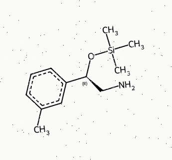 Cc1cccc([C@H](CN)O[Si](C)(C)C)c1